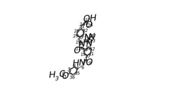 COc1ccc(CNC(=O)c2ccc3c(c2)c(=O)n(Cc2ccc(CC(=O)O)cc2)c2nncn32)cc1